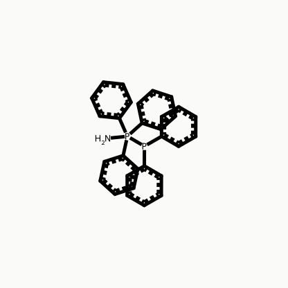 NP(c1ccccc1)(c1ccccc1)(c1ccccc1)P(c1ccccc1)c1ccccc1